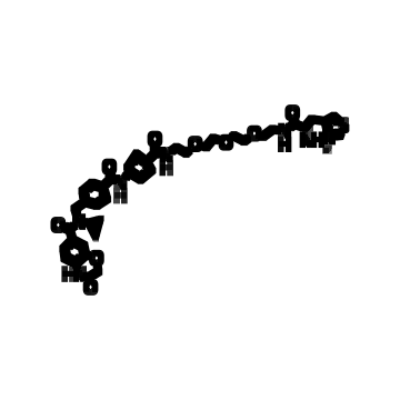 N[C@@H](Cc1cscn1)C(=O)NCCOCCOCCOCCNC(=O)c1ccc(NC(=O)c2ccc(CN(C(=O)c3ccc4c(c3)OCC(=O)N4)C3CC3)cc2)cc1